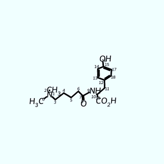 CN(C)CCCCC(=O)NC(Cc1ccc(O)cc1)C(=O)O